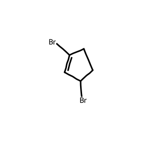 BrC1=CC(Br)CC1